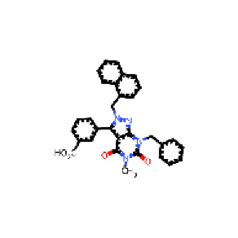 Cn1c(=O)c2c(-c3cccc(C(=O)O)c3)n(Cc3cccc4ccccc34)nc2n(Cc2ccccc2)c1=O